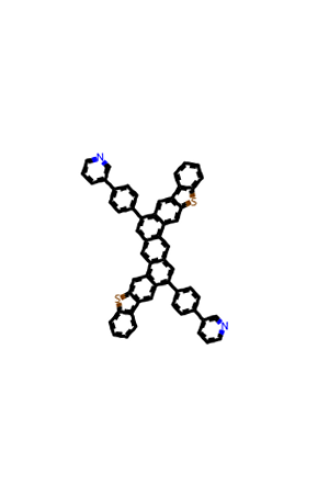 c1cncc(-c2ccc(-c3cc4cc5c(cc(-c6ccc(-c7cccnc7)cc6)c6cc7c(cc65)sc5ccccc57)cc4c4cc5sc6ccccc6c5cc34)cc2)c1